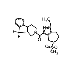 CCn1nc(C(=O)N2CCC(c3ccccc3C(F)(F)F)CC2)c2c1CCCN(S(C)(=O)=O)C2